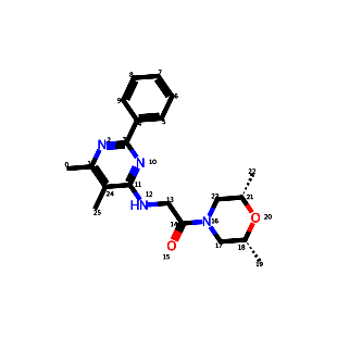 Cc1nc(-c2ccccc2)nc(NCC(=O)N2C[C@@H](C)O[C@@H](C)C2)c1C